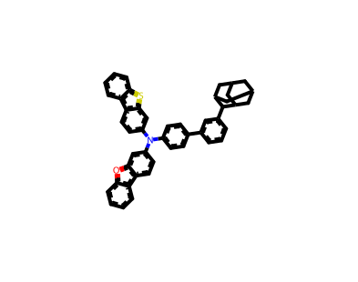 c1cc(-c2ccc(N(c3ccc4c(c3)oc3ccccc34)c3ccc4c(c3)sc3ccccc34)cc2)cc(C2C3CC4CC(C3)CC2C4)c1